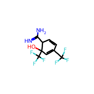 N=C(N)C1C=CC(C(F)(F)F)=CC1(O)C(F)(F)F